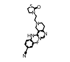 N#Cc1ccc(Nc2ncnc3c2CN(CCN2CCSC2=O)CC3)c(F)c1